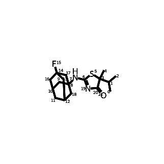 CC(C)C1(C)SC(NC23CC4CC(CC(F)(C4)C2)C3)=NC1=O